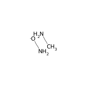 CN.N[O]